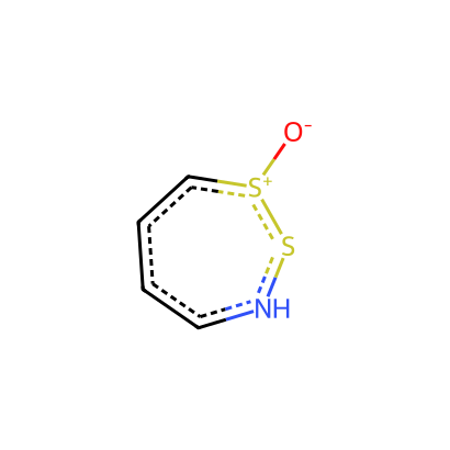 [O-][s+]1cccc[nH]s1